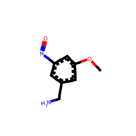 COc1cc(CN)cc(N=O)c1